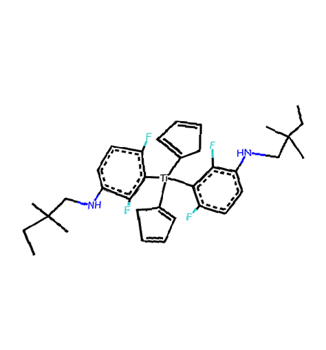 CCC(C)(C)CNc1ccc(F)[c]([Ti]([C]2=CC=CC2)([C]2=CC=CC2)[c]2c(F)ccc(NCC(C)(C)CC)c2F)c1F